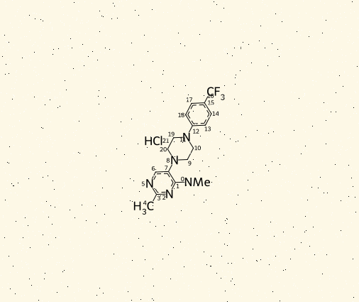 CNc1nc(C)ncc1N1CCN(c2ccc(C(F)(F)F)cc2)CC1.Cl